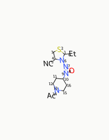 CCC1SCC(C#N)N1n1on1C1CCN(C(C)=O)CC1